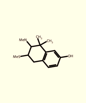 CNC1C(SC)Cc2ccc(O)cc2C1(C)C